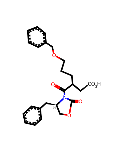 O=C(O)CC(CCCOCc1ccccc1)C(=O)N1C(=O)OC[C@H]1Cc1ccccc1